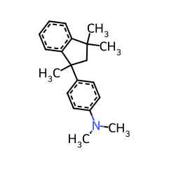 CN(C)c1ccc(C2(C)CC(C)(C)c3ccccc32)cc1